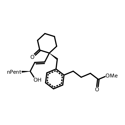 CCCCC[C@H](O)/C=C/[C@@]1(Cc2ccccc2CCCC(=O)OC)CCCCC1=O